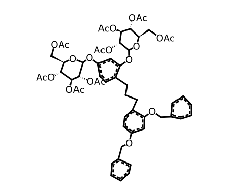 CC(=O)OC[C@H]1OC(Oc2ccc(CCCc3ccc(OCc4ccccc4)cc3OCc3ccccc3)c(OC3O[C@H](COC(C)=O)[C@@H](OC(C)=O)[C@H](OC(C)=O)[C@H]3OC(C)=O)c2)[C@H](OC(C)=O)[C@@H](OC(C)=O)[C@@H]1OC(C)=O